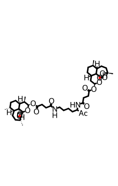 CC(=O)C(CCCCNC(=O)CCC(=O)O[C@@H]1O[C@@H]2O[C@]3(C)CC[C@H]4[C@H](C)CC[C@@H]([C@H]1C)[C@@]24OO3)NC(=O)CCC(=O)O[C@H]1C[C@@H]2CC[C@@H](C)[C@@H]3CC[C@]4(C)OO[C@@]23[C@H](O1)O4